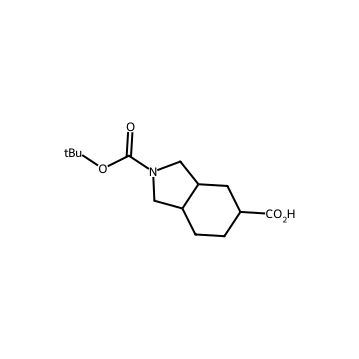 CC(C)(C)OC(=O)N1CC2CCC(C(=O)O)CC2C1